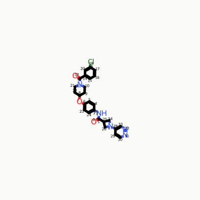 O=C(Nc1ccc(OC2CCN(C(=O)c3cccc(Cl)c3)CC2)cc1)C1CN(c2ccnnc2)C1